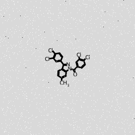 Cc1ccc2c(-c3ccc(Cl)c(Cl)c3)nn(C(=O)c3ccc(Cl)c(Cl)c3)c2c1